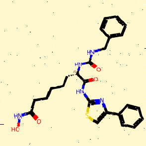 O=C(CCCCC[C@H](NC(=O)NCc1ccccc1)C(=O)Nc1nc(-c2ccccc2)cs1)NO